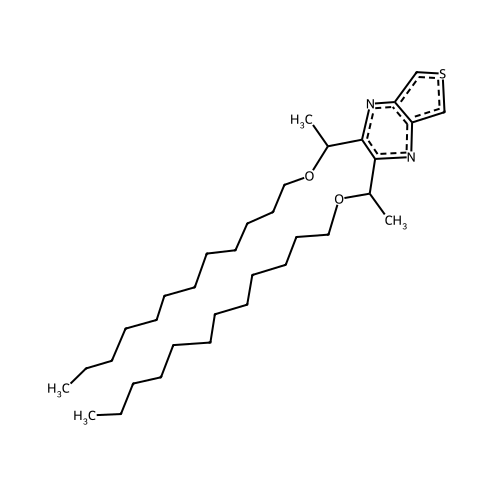 CCCCCCCCCCCCOC(C)c1nc2cscc2nc1C(C)OCCCCCCCCCCCC